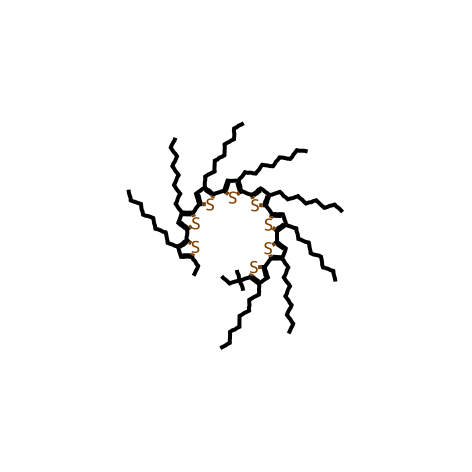 CCCCCCCCc1cc(CC)sc1-c1cc(CCCCCCCC)c(-c2cc(CCCCCCCC)c(-c3cc(CCCCCCCC)c(-c4cc(CCCCCCCC)c(-c5cc(CCCCCCCC)c(-c6cc(CCCCCCCC)c(-c7cc(CCCCCCCC)c(C(C)(C)CC)s7)s6)s5)s4)s3)s2)s1